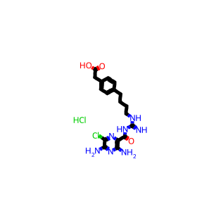 Cl.N=C(NCCCCc1ccc(CC(=O)O)cc1)NC(=O)c1nc(Cl)c(N)nc1N